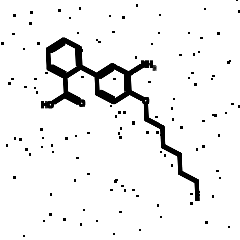 CCCCCCCOc1ccc(-c2ccccc2C(=O)O)cc1N